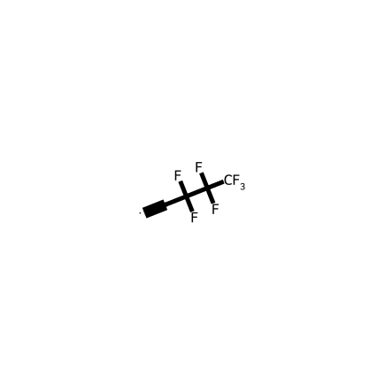 [C]#CC(F)(F)C(F)(F)C(F)(F)F